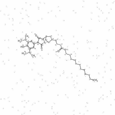 CCCCCCCCCCCCOC(=O)CCSC1CC2CC1C1C(=O)N(c3cc(C(C)C)c(O)c(C(C)C)c3)C(=O)C21